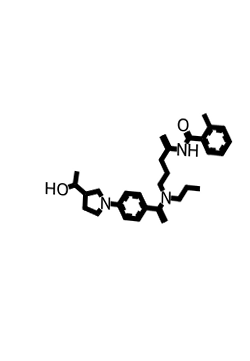 C=C(CCCN(CCC)C(=C)c1ccc(N2CCC(C(C)O)C2)cc1)NC(=O)c1ccccc1C